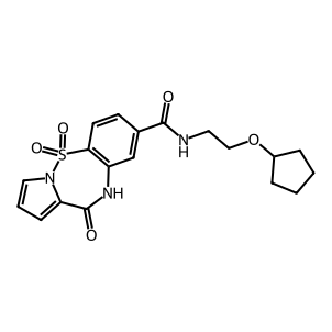 O=C(NCCOC1CCCC1)c1ccc2c(c1)NC(=O)c1cccn1S2(=O)=O